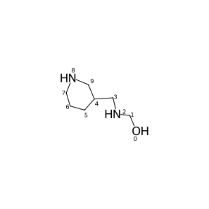 OCNCC1CCCNC1